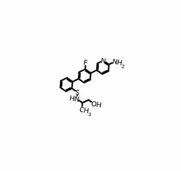 CC(CO)NSc1ccccc1-c1ccc(-c2ccc(N)nc2)c(F)c1